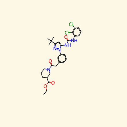 CCOC(=O)C1CCCN(C(=O)Cc2cccc(-n3nc(C(C)(C)C)cc3NC(=O)Nc3cccc(Cl)c3Cl)c2)C1